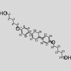 OCCCCCOc1ccc(C2=CCC(c3ccc(OCCCCCO)cc3)CC2)cc1